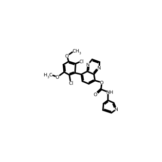 COc1cc(OC)c(Cl)c(-c2ccc(OC(=O)Nc3cccnc3)c3nccnc23)c1Cl